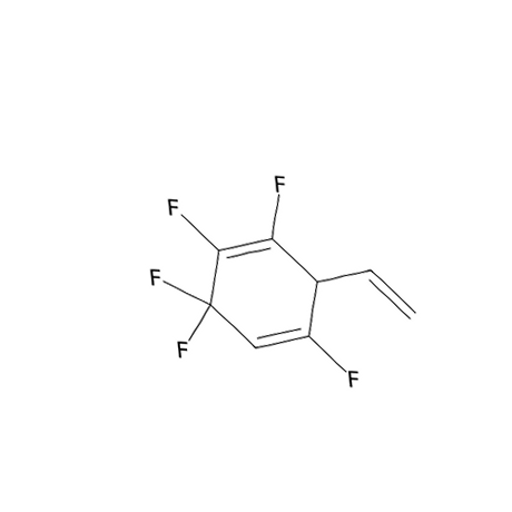 C=CC1C(F)=CC(F)(F)C(F)=C1F